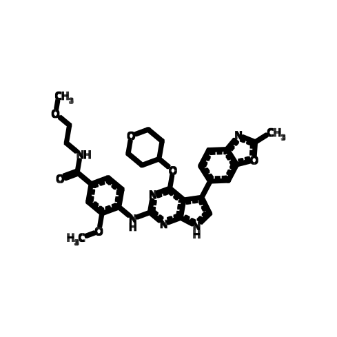 COCCNC(=O)c1ccc(Nc2nc(OC3CCOCC3)c3c(-c4ccc5nc(C)oc5c4)c[nH]c3n2)c(OC)c1